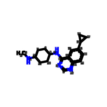 CNC1CCC(Nc2ncnc3ccc(C4CC4)cc23)CC1